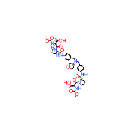 COC(=O)N[C@H](C(=O)N1CCC[C@H]1C(=O)Nc1ccc(CN(Cc2ccc(NC(=O)[C@@H]3CCCN3C(=O)[C@@H](NC(=O)OC)[C@@H](C)O)cc2)[C@@H]2CCOC2)cc1)[C@@H](C)O